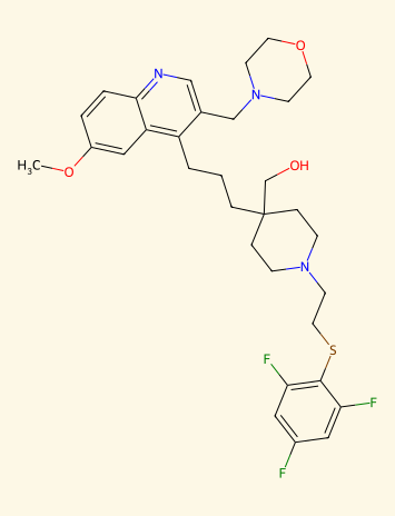 COc1ccc2ncc(CN3CCOCC3)c(CCCC3(CO)CCN(CCSc4c(F)cc(F)cc4F)CC3)c2c1